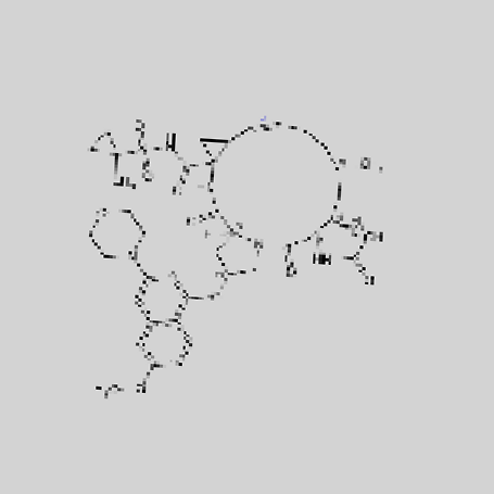 COc1ccc2c(O[C@@H]3C[C@H]4C(=O)NC5(C(=O)NS(=O)(=O)C6(C)CC6)CC5/C=C\CC[C@H](C)C[C@@H](C)[C@H](NC(=O)O)C(=O)N4C3)nc(N3CCOCC3)cc2c1